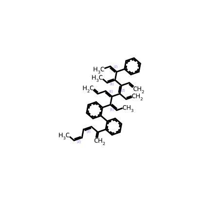 C=C/C=C(C(/C=C)=C(C=C)\C(=C\C)C(=C/C)\c1ccccc1)\C(=C/C)c1ccccc1-c1ccccc1C(=C)/C=C\C=C/C